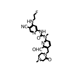 CN1CCN(Cc2ccc(N(C)C(=O)Nc3cc(NCCF)c(C#N)cn3)nc2C=O)C(=O)C1